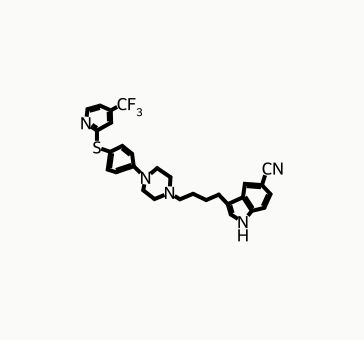 N#Cc1ccc2[nH]cc(CCCCN3CCN(c4ccc(Sc5cc(C(F)(F)F)ccn5)cc4)CC3)c2c1